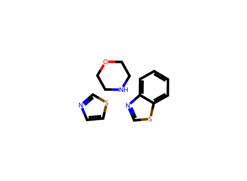 C1COCCN1.c1ccc2scnc2c1.c1cscn1